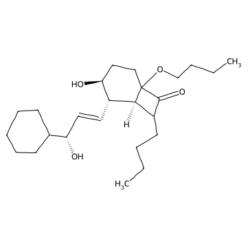 CCCCOC12CC[C@H](O)[C@@H](/C=C/[C@H](O)C3CCCCC3)[C@@H]1C(CCCC)C2=O